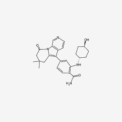 CC1(C)CC(=O)n2c(c(-c3ccc(C(N)=O)c(N[C@H]4CC[C@H](O)CC4)c3)c3ccncc32)C1